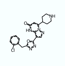 O=c1cc(C2CCNCC2)n2ncc(-c3nnc(Cc4ccccc4Cl)o3)c2[nH]1